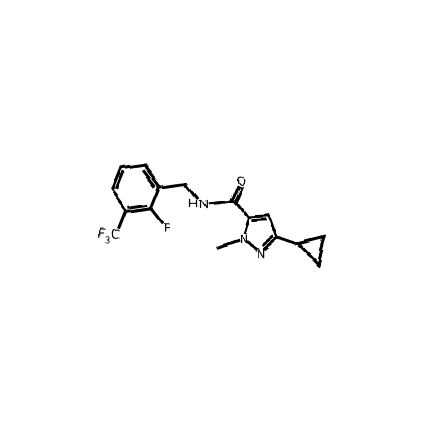 Cn1nc(C2CC2)cc1C(=O)NCc1cccc(C(F)(F)F)c1F